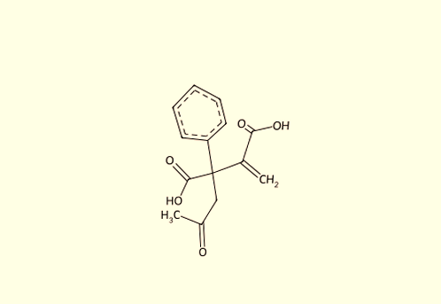 C=C(C(=O)O)C(CC(C)=O)(C(=O)O)c1ccccc1